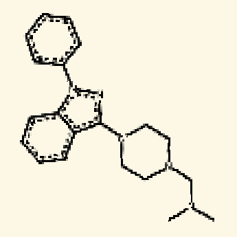 CN(C)CN1CCN(c2nn(-c3ccccc3)c3ccccc23)CC1